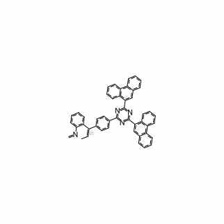 C=Nc1ccccc1/C(=C\C)c1ccc(-c2nc(-c3cc4ccccc4c4ccccc34)nc(-c3cc4ccccc4c4ccccc34)n2)cc1